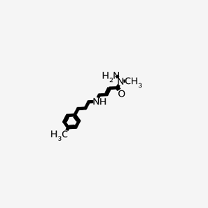 Cc1ccc(CCCNC/C=C/C(=O)N(C)N)cc1